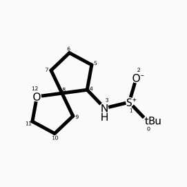 CC(C)(C)[S+]([O-])NC1CCCC12CCCO2